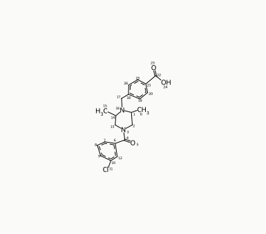 CC1CN(C(=O)c2cccc(Cl)c2)CC(C)N1Cc1ccc(C(=O)O)cc1